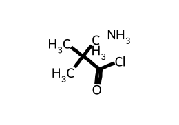 CC(C)(C)C(=O)Cl.N